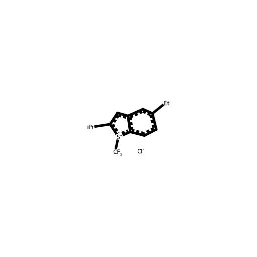 CCc1ccc2c(c1)cc(C(C)C)[s+]2C(F)(F)F.[Cl-]